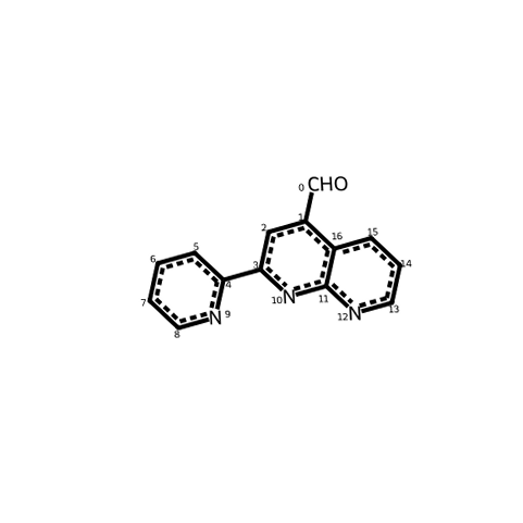 O=Cc1cc(-c2ccccn2)nc2ncccc12